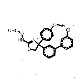 CC(C)Oc1ccc(C2(c3cccc(-c4cccc(Cl)c4)c3)COC(NOC=O)=N2)cc1